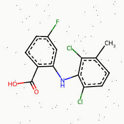 Cc1ccc(Cl)c(Nc2cc(F)ccc2C(=O)O)c1Cl